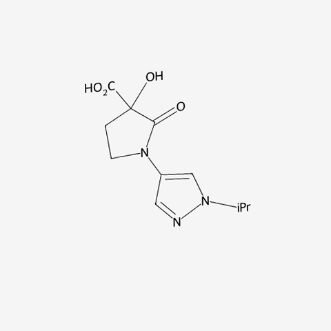 CC(C)n1cc(N2CCC(O)(C(=O)O)C2=O)cn1